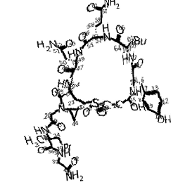 CC[C@H](C)[C@@H]1NC(=O)[C@H](Cc2ccc(O)cc2)NC(O)CCS(=O)(=O)CC[C@@H](C(=O)N(CC(=O)N[C@@](C)(CC(C)C)C(=O)NCC(N)=O)C2CC2)NC(=O)[C@H](CC(N)=O)NC(=O)[C@H](CCC(N)=O)NC1=O